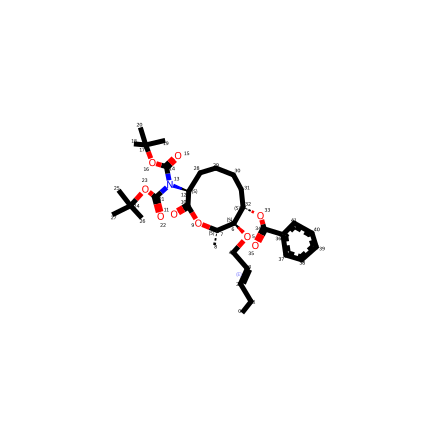 CC/C=C/CO[C@H]1[C@H](C)OC(=O)[C@@H](N(C(=O)OC(C)(C)C)C(=O)OC(C)(C)C)CCCC[C@@H]1OC(=O)c1ccccc1